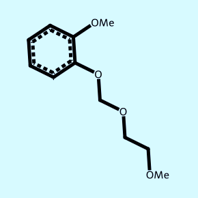 COCCOCOc1[c]cccc1OC